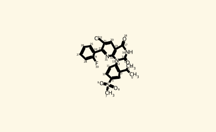 CC(C)c1cc(S(C)(=O)=O)ccc1-n1c(=O)[nH]c(=O)c2cc(Cl)c(-c3ccccc3F)nc21